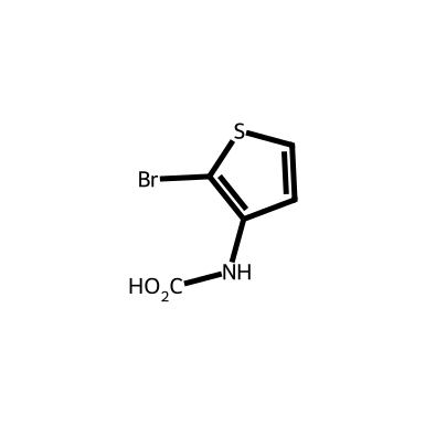 O=C(O)Nc1ccsc1Br